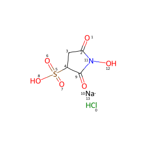 Cl.O=C1CC(S(=O)(=O)O)C(=O)N1O.[Na]